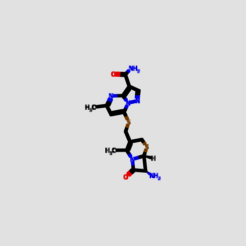 CC1=C(CSc2cc(C)nc3c(C(N)=O)cnn23)CS[C@@H]2[C@H](N)C(=O)N12